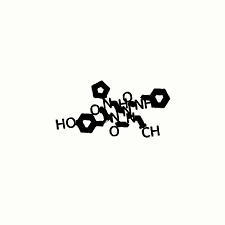 C#CCN1CC(=O)N2[C@@H](Cc3ccc(O)cc3)C(=O)N(C3CCCC3)C[C@@H]2N1C(=O)NCc1ccccc1